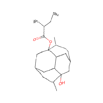 CC(C)C(CC(C)(C)C)C(=O)OC12CC3CC(C)C4(O)CC(CC1C)CC2C4C3